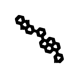 c1cncc(-c2ccc3ccc4c(-c5cccc(-c6ccc7nc8ccccc8nc7c6)c5)ccc5ccc2c3c54)c1